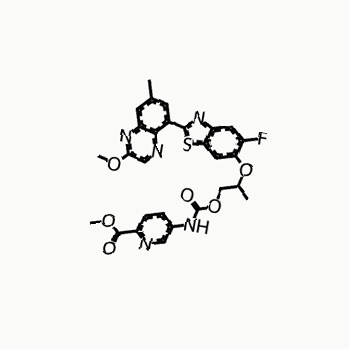 COC(=O)c1ccc(NC(=O)OCC(C)Oc2cc3sc(-c4cc(C)cc5nc(OC)cnc45)nc3cc2F)cn1